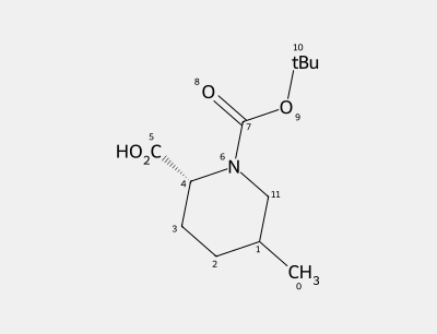 CC1CC[C@H](C(=O)O)N(C(=O)OC(C)(C)C)C1